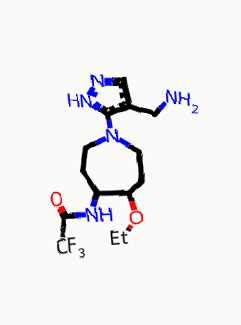 CCOC1CCN(c2[nH]ncc2CN)CCC1NC(=O)C(F)(F)F